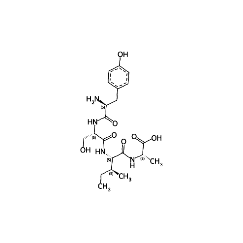 CC[C@H](C)[C@H](NC(=O)[C@H](CO)NC(=O)[C@@H](N)Cc1ccc(O)cc1)C(=O)N[C@@H](C)C(=O)O